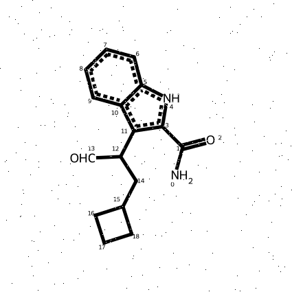 NC(=O)c1[nH]c2ccccc2c1C(C=O)CC1CCC1